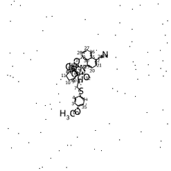 COc1ccc(SCC[C@]23CC[C@](C)(O2)[C@@H]2C(=O)N(c4ccc(C#N)c5ccccc45)C(=O)[C@@H]23)cc1